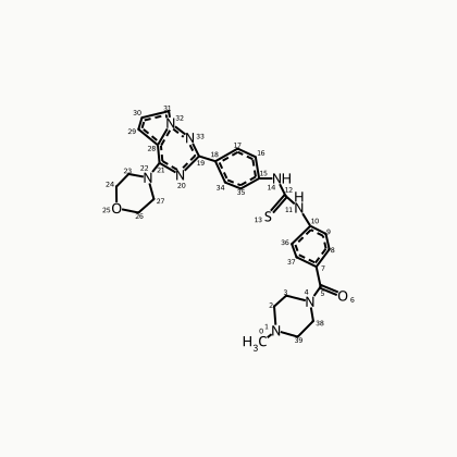 CN1CCN(C(=O)c2ccc(NC(=S)Nc3ccc(-c4nc(N5CCOCC5)c5cccn5n4)cc3)cc2)CC1